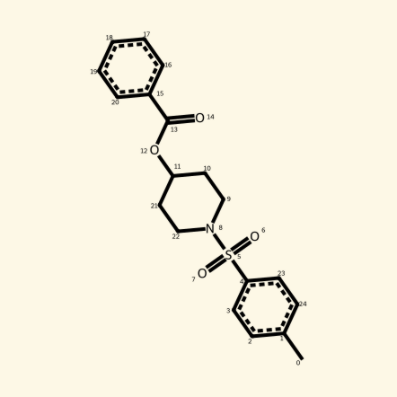 Cc1ccc(S(=O)(=O)N2CCC(OC(=O)c3ccccc3)CC2)cc1